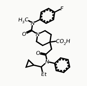 CCC(C1CC1)N(C(=O)CC1(C(=O)O)CCN(C(=O)N(C)c2ccc(F)cc2)CC1)c1ccccc1